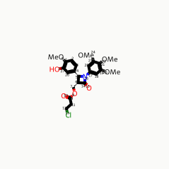 COc1ccc([C@H]2[C@@H](COC(=O)CCCl)C(=O)N2c2cc(OC)c(OC)c(OC)c2)cc1O